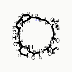 CC(C)[C@@H]1OC(=O)CCN(S(C)(=O)=O)CC/C=C/c2ccc3ccc(nc3c2)[C@@H](C)NC(=O)[C@@H]2CCCN(N2)C(=O)[C@H](C)NC1=O